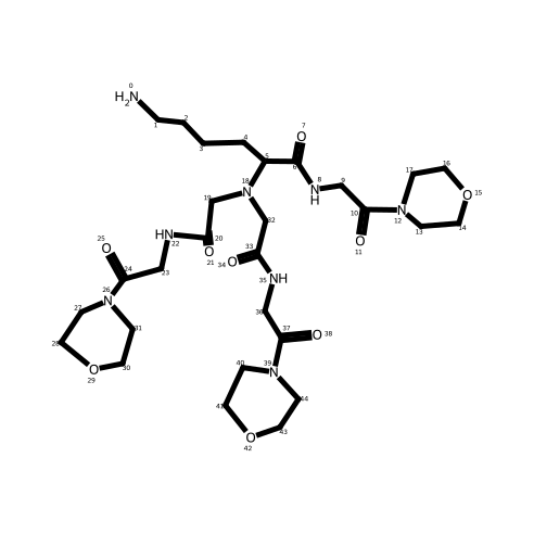 NCCCCC(C(=O)NCC(=O)N1CCOCC1)N(CC(=O)NCC(=O)N1CCOCC1)CC(=O)NCC(=O)N1CCOCC1